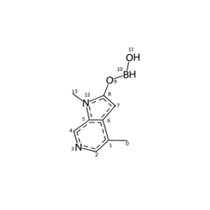 Cc1cncc2c1cc(OBO)n2C